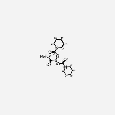 COC(=O)C(OC(=O)N1CCCCC1)OC(=O)N1CCCCC1